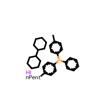 C1CCC(C2CCCCC2)CC1.CCCCCc1ccc(P(c2ccccc2)c2ccc(C)cc2)cc1.I